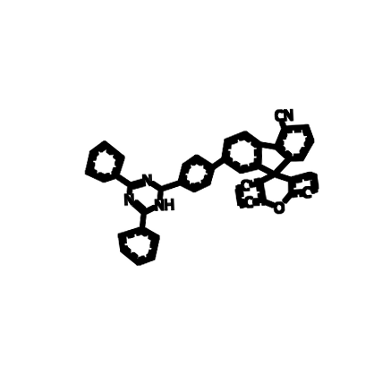 N#Cc1cccc2c1-c1ccc(-c3ccc(C4N=C(c5ccccc5)N=C(c5ccccc5)N4)cc3)cc1C21c2ccccc2Oc2ccccc21